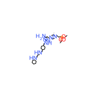 CCOP(=O)(CCCN1CCN(c2cc(N)nc(NCC3CCC(CNCCCNC4CCCCC4)CC3)n2)C[C@@H]1C)OCC